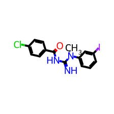 CN(C(=N)NC(=O)c1ccc(Cl)cc1)c1cccc(I)c1